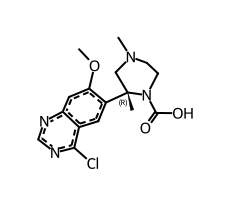 COc1cc2ncnc(Cl)c2cc1[C@]1(C)CN(C)CCN1C(=O)O